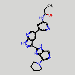 CCC(O)Nc1cncc(-c2cnc3[nH]nc(-c4nc5c(N6CCCCC6)cncc5[nH]4)c3c2)c1